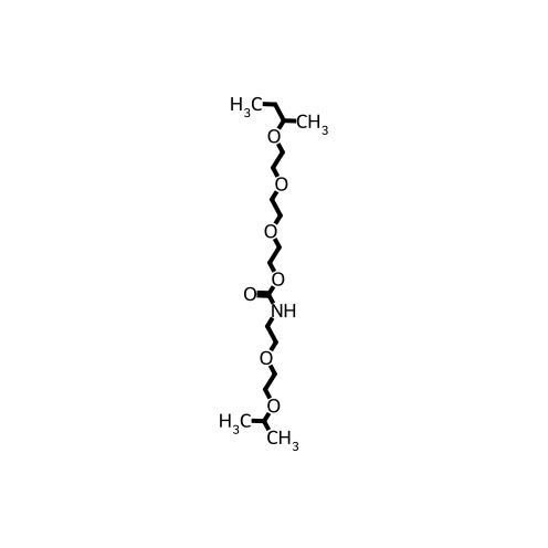 CCC(C)OCCOCCOCCOC(=O)NCCOCCOC(C)C